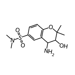 CN(C)S(=O)(=O)c1ccc2c(c1)C(N)C(O)C(C)(C)O2